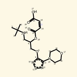 CC(C)(C)NCC(COc1nsnc1N1CCOCC1)OC(=O)/C=C\C(=O)O